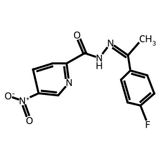 CC(=NNC(=O)c1ccc([N+](=O)[O-])cn1)c1ccc(F)cc1